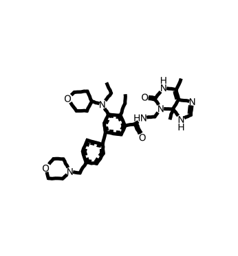 CCc1c(C(=O)NCN2C(=O)NC(C)=C3N=CNC32C)cc(-c2ccc(CN3CCOCC3)cc2)cc1N(CC)C1CCOCC1